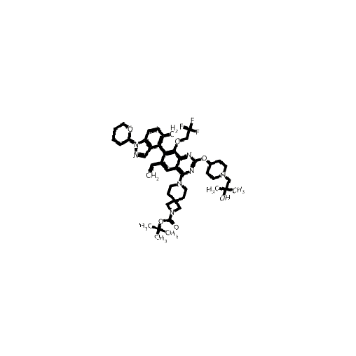 C=Cc1cc2c(N3CCC4(CC3)CN(C(=O)OC(C)(C)C)C4)nc(OC3CCN(CC(C)(C)O)CC3)nc2c(OCC(F)(F)F)c1-c1c(C)ccc2c1cnn2C1CCCCO1